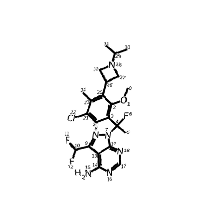 COc1c(C(C)(F)n2nc(C(F)F)c3c(N)ncnc32)cc(Cl)c(C)c1C1CN(C(C)C)C1